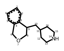 c1ccc2c(c1)COCC2CC1CCNCC1